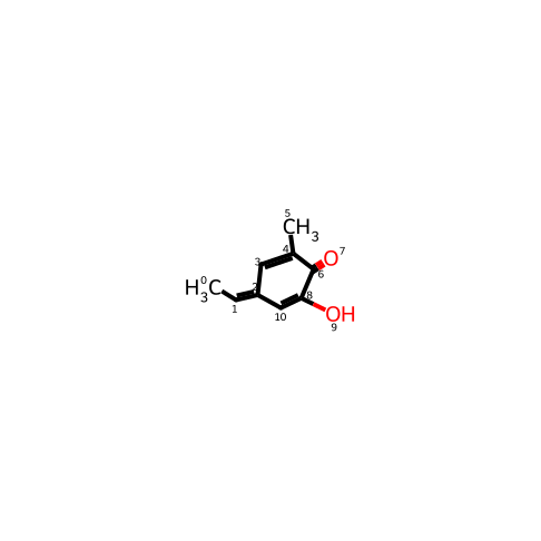 CC=C1C=C(C)C(=O)C(O)=C1